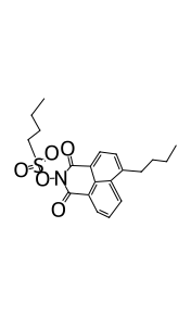 CCCCc1ccc2c3c(cccc13)C(=O)N(OS(=O)(=O)CCCC)C2=O